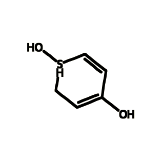 OC1=CC[SH](O)C=C1